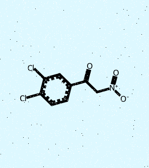 O=C(C[N+](=O)[O-])c1ccc(Cl)c(Cl)c1